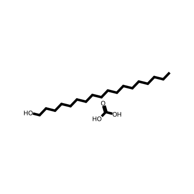 CCCCCCCCCCCCCCCCCCO.O=C(O)O